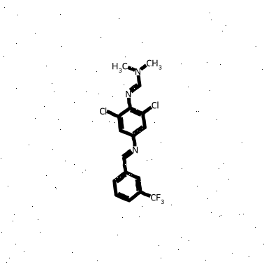 CN(C)C=Nc1c(Cl)cc(N=Cc2cccc(C(F)(F)F)c2)cc1Cl